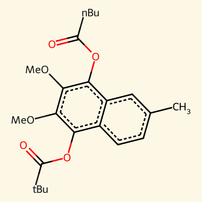 CCCCC(=O)Oc1c(OC)c(OC)c(OC(=O)C(C)(C)C)c2ccc(C)cc12